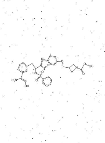 CC(C)(C)OC(=O)N1CC(COc2ccc3nc(C(Cc4cccc(C(N)=NO)c4)NS(=O)(=O)c4ccccc4)sc3c2)C1